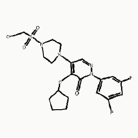 O=c1c(OC2CCCC2)c(N2CCN(S(=O)(=O)CCl)CC2)cnn1-c1cc(F)cc(F)c1